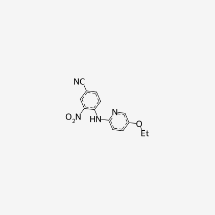 CCOc1ccc(Nc2ccc(C#N)cc2[N+](=O)[O-])nc1